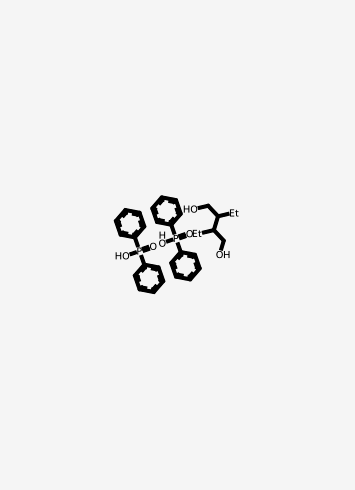 CCC(CO)C(CC)CO.O=P(O)(c1ccccc1)c1ccccc1.O=P(O)(c1ccccc1)c1ccccc1